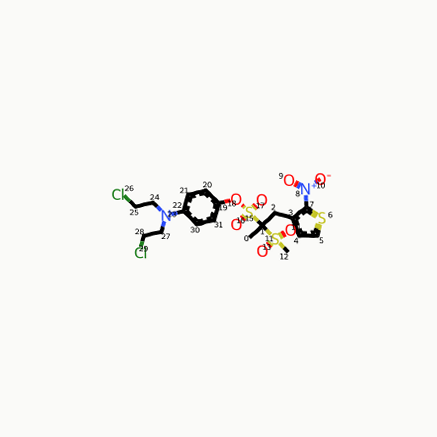 CC(Cc1ccsc1[N+](=O)[O-])(S(C)(=O)=O)S(=O)(=O)Oc1ccc(N(CCCl)CCCl)cc1